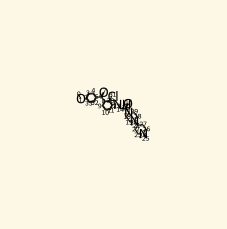 COc1ccc(C(=O)c2cccc(NCC(=O)N3CCN(C4CCN(C)CC4)CC3)c2Cl)cc1